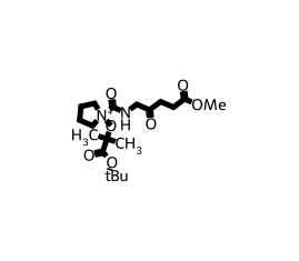 COC(=O)CCC(=O)CNC(=O)[N+]1(OC(C)(C)C(=O)OC(C)(C)C)CCCC1